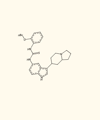 CCCCOc1ccccc1NC(=S)Nc1ccc2[nH]cc(C3CCN4CCCC4C3)c2c1